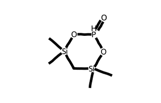 C[Si]1(C)C[Si](C)(C)O[PH](=O)O1